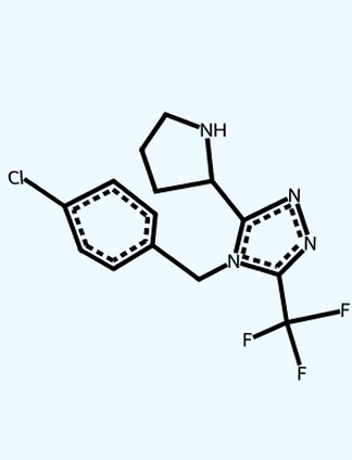 FC(F)(F)c1nnc(C2CCCN2)n1Cc1ccc(Cl)cc1